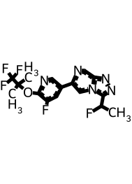 CC(F)c1nnc2cnc(-c3cnc(OC(C)(C)C(F)(F)F)c(F)c3)cn12